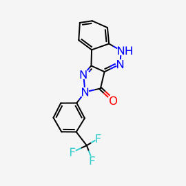 O=c1c2n[nH]c3ccccc3c-2nn1-c1cccc(C(F)(F)F)c1